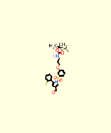 CC(C)(C)OC(=O)NCCCOc1cccc(S(=O)(=O)n2cc(C=O)cc2-c2ccccc2F)c1